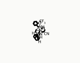 N#Cc1cnc(NCc2ccccc2OC(F)(F)F)nc1NC[C@@]12CC3C[C@H](C1)[C@@H](N1CCOCC1)[C@@H](C3)C2